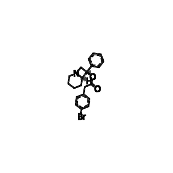 O=C(Cc1ccc(Br)cc1)O[C@]1(c2ccccc2)CN2CCCC[C@@H]21